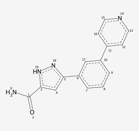 NC(=O)c1cc(-c2cccc(-c3ccncc3)c2)n[nH]1